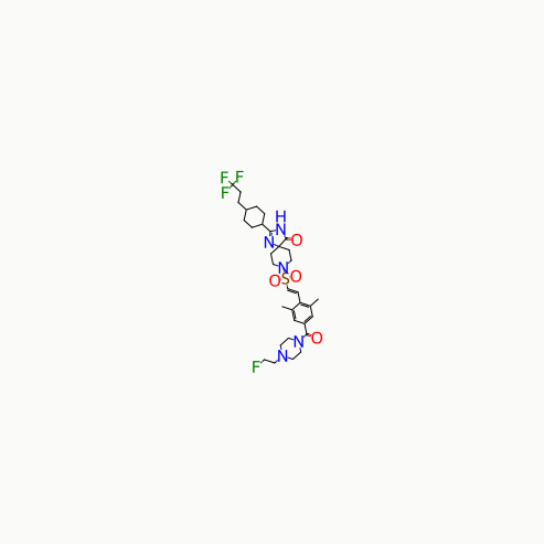 Cc1cc(C(=O)N2CCN(CCF)CC2)cc(C)c1/C=C/S(=O)(=O)N1CCC2(CC1)N=C(C1CCC(CCC(F)(F)F)CC1)NC2=O